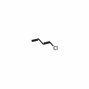 C=CC=CCl